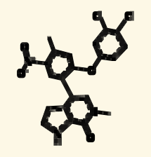 Cc1cc(Oc2ccc(Cl)c(Cl)c2)c(-c2cn(C)c(=O)c3[nH]ccc23)cc1[N+](=O)[O-]